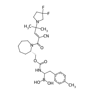 Cc1ccc(CC(NC(=O)OC[C@@H]2CCCCCN2C(=O)C(C#N)=CC(C)(C)N2CCC(F)(F)C2)B(O)O)cc1